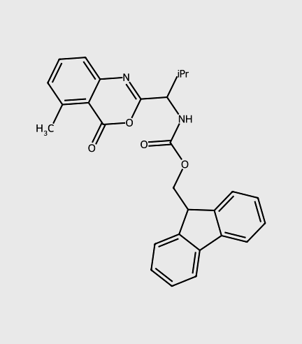 Cc1cccc2nc(C(NC(=O)OCC3c4ccccc4-c4ccccc43)C(C)C)oc(=O)c12